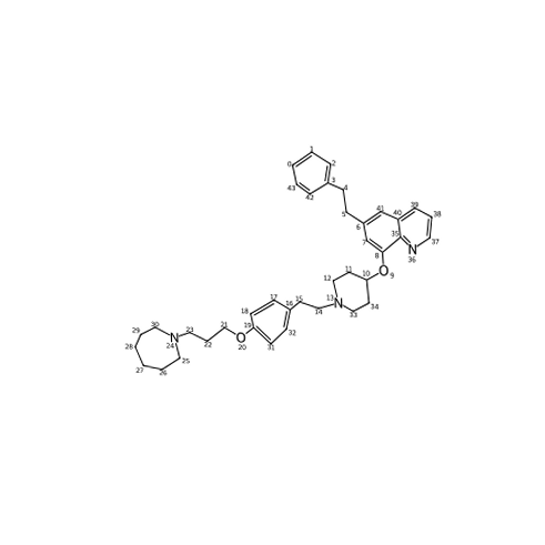 c1ccc(CCc2cc(OC3CCN(CCc4ccc(OCCCN5CCCCCC5)cc4)CC3)c3ncccc3c2)cc1